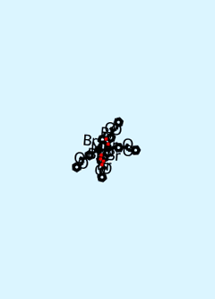 O=C(Oc1ccccc1)c1ccc(C2=NC(c3c(Br)cc(Br)cc3Br)(n3c(-c4c(Br)cc(Br)cc4Br)nc(-c4ccc(C(=O)Oc5ccccc5)cc4)c3-c3ccc(C(=O)Oc4ccccc4)cc3)N=C2c2ccc(C(=O)Oc3ccccc3)cc2)cc1